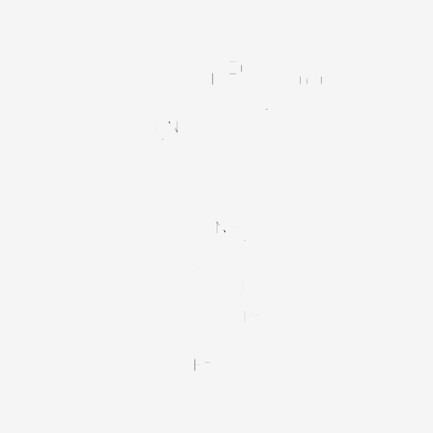 CCCC1(CC)CCCC(CC2CCCC(CC)(CCC)C2(N)I)C1(N)I